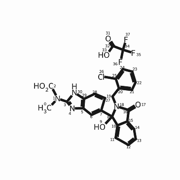 CN(C(=O)O)c1nc2cc(C3(O)c4ccccc4C(=O)N3Cc3ccccc3Cl)ccc2[nH]1.O=C(O)C(F)(F)F